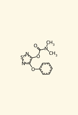 CN(C)C(=O)Oc1nsnc1Oc1ccccc1